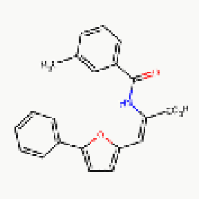 Cc1cccc(C(=O)N/C(=C\c2ccc(-c3ccccc3)o2)C(=O)O)c1